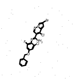 N/C(=N\c1c(F)cc(OCc2ccccc2)cc1Cl)c1cnn2cc(Br)cc2c1Cl